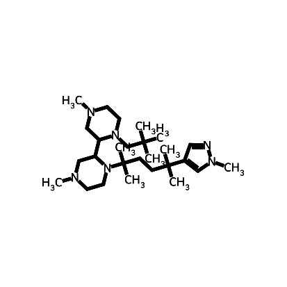 CN1CCN(CC(C)(C)C)C(C2CN(C)CCN2C(C)(C)CCC(C)(C)c2cnn(C)c2)C1